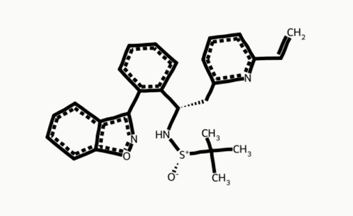 C=Cc1cccc(C[C@H](N[S@@+]([O-])C(C)(C)C)c2ccccc2-c2noc3ccccc23)n1